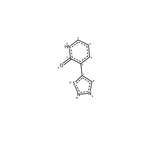 O=c1[nH]cccc1-c1cnns1